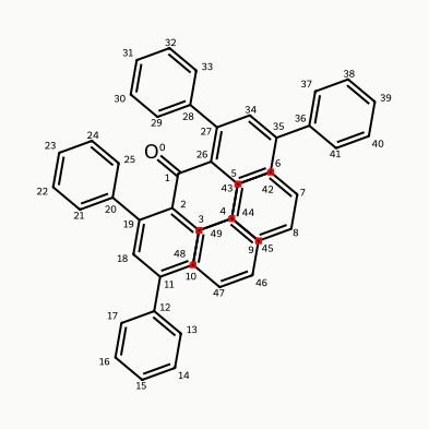 O=C(c1c(-c2ccccc2)cc(-c2ccccc2)cc1-c1ccccc1)c1c(-c2ccccc2)cc(-c2ccccc2)cc1-c1ccccc1